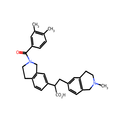 Cc1ccc(C(=O)N2CCc3ccc(C(Cc4ccc5c(c4)CCN(C)C5)C(=O)O)cc3C2)cc1C